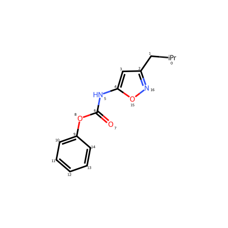 CC(C)Cc1cc(NC(=O)Oc2ccccc2)on1